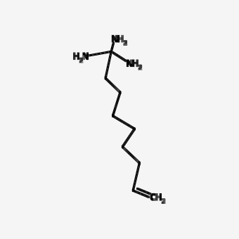 C=CCCCCCCC(N)(N)N